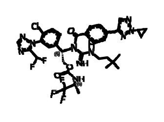 C[C@H](NC(=O)OC[C@H](c1ccc(Cl)c(-n2ncnc2C(F)F)c1)N(C(=N)NCCC(C)(C)C)C(=O)c1ccc(-c2cnn(C3CC3)n2)cc1)C(F)(F)F